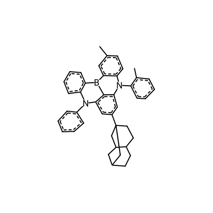 Cc1ccc2c(c1)B1c3ccccc3N(c3ccccc3)c3cc(C45CCC6CCC(CC6C4)C5)cc(c31)N2c1ccccc1C